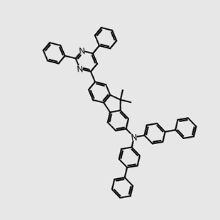 CC1(C)c2cc(-c3cc(-c4ccccc4)nc(-c4ccccc4)n3)ccc2-c2ccc(N(c3ccc(-c4ccccc4)cc3)c3ccc(-c4ccccc4)cc3)cc21